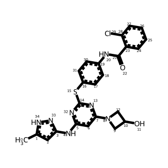 Cc1cc(Nc2cc(N3CC(O)C3)nc(Sc3ccc(NC(=O)c4ccccc4Cl)cc3)n2)n[nH]1